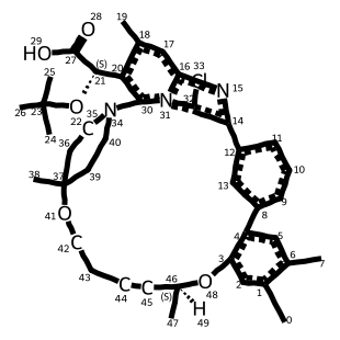 Cc1cc2c(cc1C)-c1cccc(c1)-c1nc3cc(C)c([C@H](OC(C)(C)C)C(=O)O)c(n3c1Cl)N1CCC(C)(CC1)OCCCC[C@H](C)O2